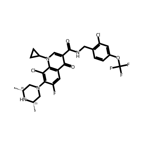 C[C@@H]1CN(c2c(F)cc3c(=O)c(C(=O)NCc4ccc(OC(F)(F)F)cc4Cl)cn(C4CC4)c3c2Cl)C[C@H](C)N1